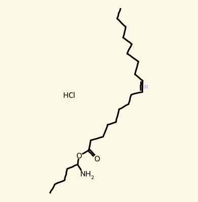 CCCCCCCC/C=C\CCCCCCCC(=O)OC(N)CCCC.Cl